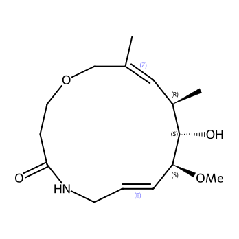 CO[C@H]1/C=C/CNC(=O)CCOC/C(C)=C\[C@@H](C)[C@@H]1O